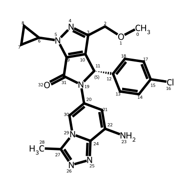 COCc1nn(C2CC2)c2c1[C@H](c1ccc(Cl)cc1)N(c1cc(N)c3nnc(C)n3c1)C2=O